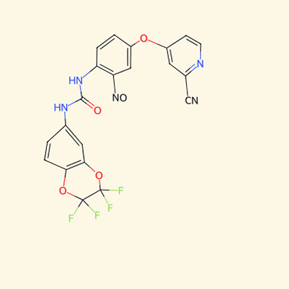 N#Cc1cc(Oc2ccc(NC(=O)Nc3ccc4c(c3)OC(F)(F)C(F)(F)O4)c(N=O)c2)ccn1